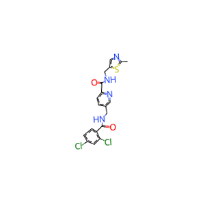 Cc1ncc(CNC(=O)c2ccc(CNC(=O)c3ccc(Cl)cc3Cl)cn2)s1